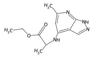 CCOC(=O)C(C)Nc1cc(C)nc2[nH]ncc12